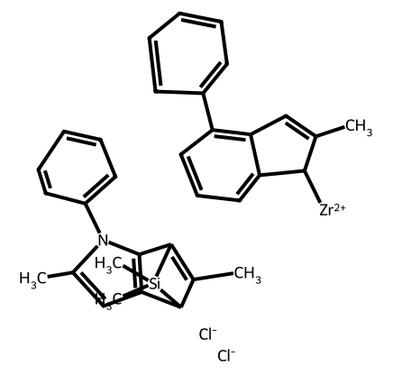 CC1=C2c3c(cc(C)n3-c3ccccc3)C1[Si]2(C)C.CC1=Cc2c(-c3ccccc3)cccc2[CH]1[Zr+2].[Cl-].[Cl-]